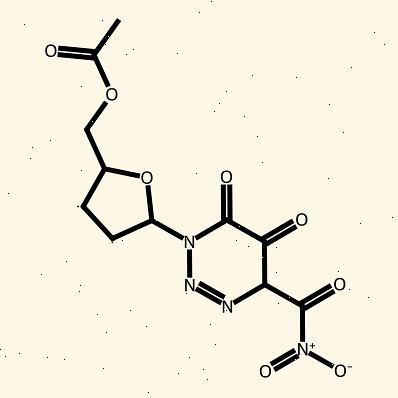 CC(=O)OCC1[CH][CH]C(N2N=NC(C(=O)[N+](=O)[O-])C(=O)C2=O)O1